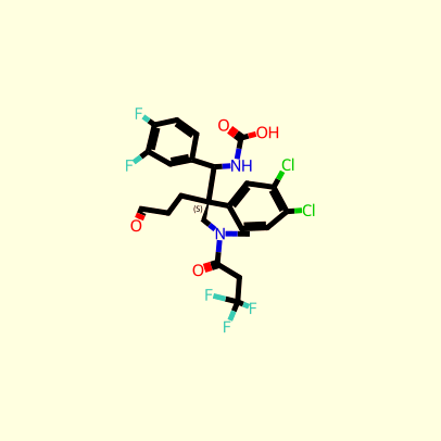 CN(C[C@](CCC=O)(c1ccc(Cl)c(Cl)c1)C(NC(=O)O)c1ccc(F)c(F)c1)C(=O)CC(F)(F)F